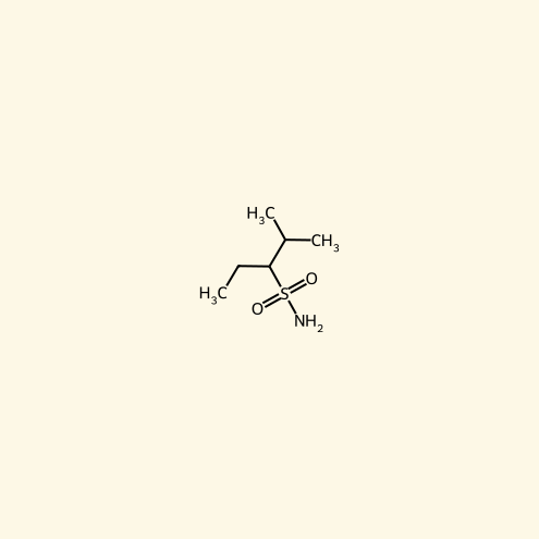 CCC(C(C)C)S(N)(=O)=O